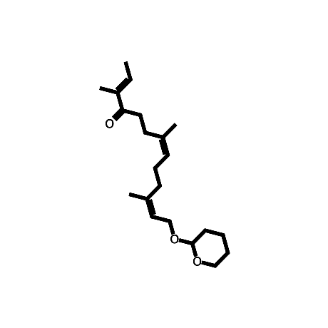 CC=C(C)C(=O)CCC(C)=CCCC(C)=CCOC1CCCCO1